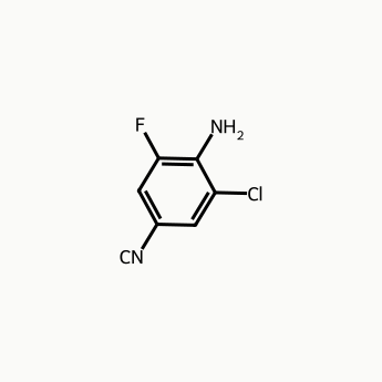 [C-]#[N+]c1cc(F)c(N)c(Cl)c1